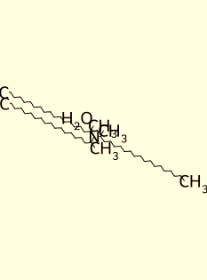 CCCCCCCCCCCCCCCCCC(C)N(C(C)CCCCCCCCCCCCCCCCC)C(C)CCCCCCCCCCCCCCCCC.O